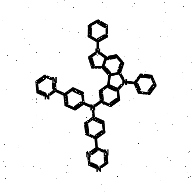 c1ccc(-n2ccc3c4c5cc(N(c6ccc(-c7ncccn7)cc6)c6ccc(-c7ncncn7)cc6)ccc5n(-c5ccccc5)c4ccc32)cc1